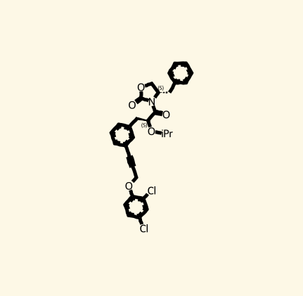 CC(C)O[C@@H](Cc1cccc(C#CCOc2ccc(Cl)cc2Cl)c1)C(=O)N1C(=O)OC[C@@H]1Cc1ccccc1